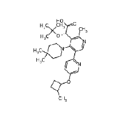 Cc1ncc(-c2ccc(OC3CCC3C)cn2)c(N2CCC(C)(C)CC2)c1[C@H](OC(C)(C)C)C(=O)O